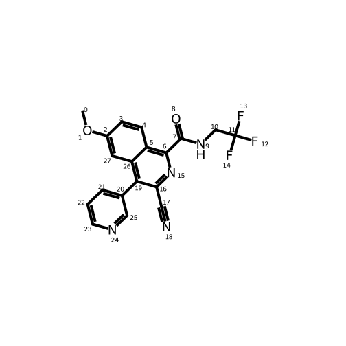 COc1ccc2c(C(=O)NCC(F)(F)F)nc(C#N)c(-c3cccnc3)c2c1